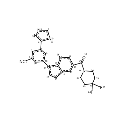 N#Cc1cc(-c2nnc[nH]2)cc(-n2ccc3cc(C(=O)N4CCC(F)(F)CC4)cnc32)c1